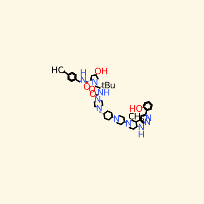 C#Cc1ccc(CNC(=O)[C@@H]2C[C@@H](O)CN2C(=O)[C@@H](NC(=O)N2CCN(C[C@H]3CC[C@@H](N4CCC(N5CCC6Nc7nnc(-c8ccccc8O)cc7C6[C@H]5C)CC4)CC3)CC2)C(C)(C)C)cc1